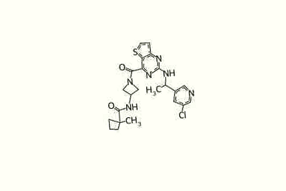 CC(Nc1nc(C(=O)N2CC(NC(=O)C3(C)CCC3)C2)c2sccc2n1)c1cncc(Cl)c1